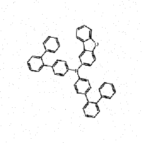 c1ccc(-c2ccccc2-c2ccc(N(c3ccc(-c4ccccc4-c4ccccc4)cc3)c3ccc4oc5ccccc5c4c3)cc2)cc1